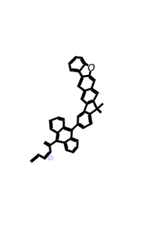 C=C/C=C\C(=C)c1c2ccccc2c(-c2ccc3c(c2)-c2cc4cc5c(cc4cc2C3(C)C)oc2ccccc25)c2ccccc12